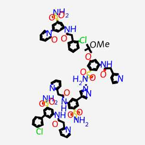 COC(C)(C)COc1cc(NC(=O)Cc2cccnc2)cc(S(N)(=O)=O)c1.Cn1cc(-c2cc(NC(=O)Cc3ccccn3)cc(S(N)(=O)=O)c2)cn1.NS(=O)(=O)c1cc(NC(=O)Cc2ccccc2Cl)cc(-n2ccccc2=O)c1.NS(=O)(=O)c1cc(NC(=O)Cc2ccccn2)cc(-c2cccc(Cl)c2)c1